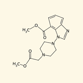 COC(=O)CN1CCN(n2cnc3cccc(C(=O)OC)c32)CC1